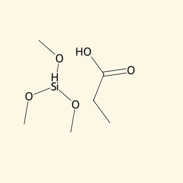 CCC(=O)O.CO[SiH](OC)OC